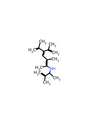 C=C(C)C(=C/C(C)=C(\C)NC(C)C(=C)C)C(=C)C